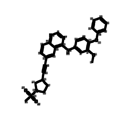 COc1cc(Nc2ncnc3ccc(C#CC4CCN(S(C)(=O)=O)C4)cc23)ccc1Oc1ccccc1